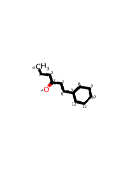 CCCC(=O)CCC1CCCCC1